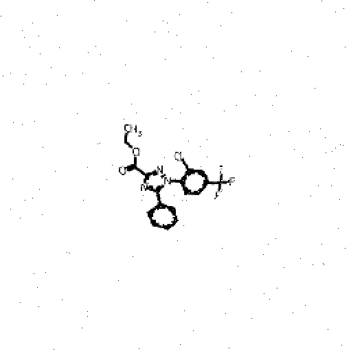 CCOC(=O)c1nc(-c2ccccc2)n(-c2ccc(C(F)(F)F)cc2Cl)n1